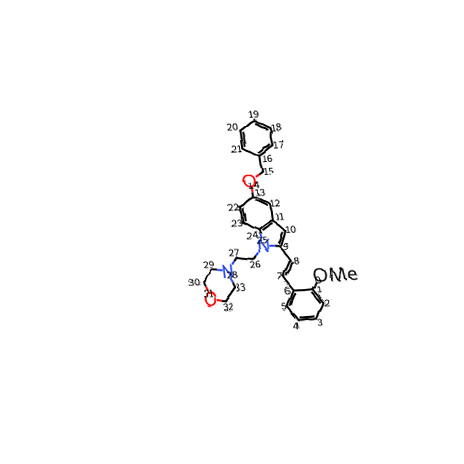 COc1ccccc1C=Cc1cc2cc(OCc3ccccc3)ccc2n1CCN1CCOCC1